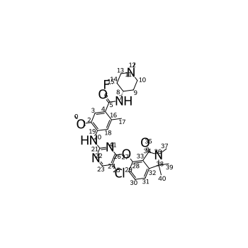 COc1cc(C(=O)N[C@H]2CCN(C)C[C@H]2F)c(C)cc1Nc1ncc(Cl)c(Oc2cccc3c2C(=O)N(C)C3(C)C)n1